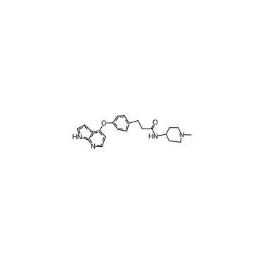 CN1CCC(NC(=O)CCc2ccc(Oc3ccnc4[nH]ccc34)cc2)CC1